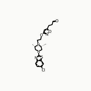 C[C@@H]1CN(c2nc3ccc(Cl)cc3s2)C[C@H](C)N1CCOc1cc(CCC=O)on1